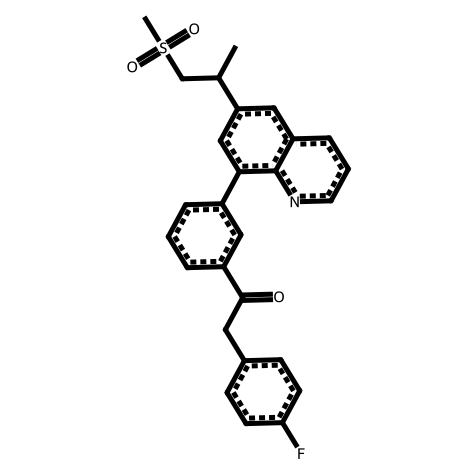 CC(CS(C)(=O)=O)c1cc(-c2cccc(C(=O)Cc3ccc(F)cc3)c2)c2ncccc2c1